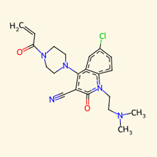 C=CC(=O)N1CCN(c2c(C#N)c(=O)n(CCN(C)C)c3ccc(Cl)cc23)CC1